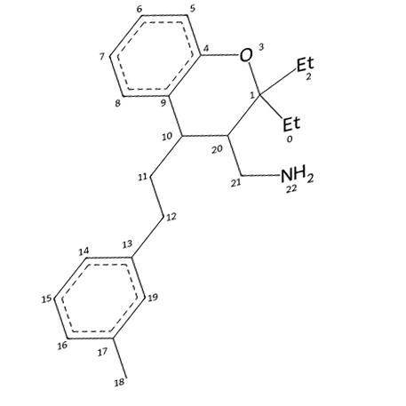 CCC1(CC)Oc2ccccc2C(CCc2cccc(C)c2)C1CN